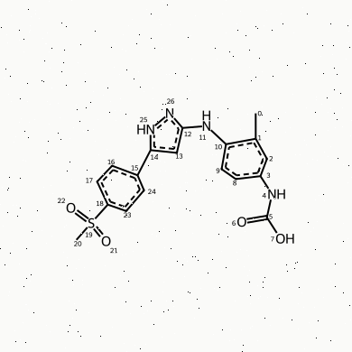 Cc1cc(NC(=O)O)ccc1Nc1cc(-c2ccc(S(C)(=O)=O)cc2)[nH]n1